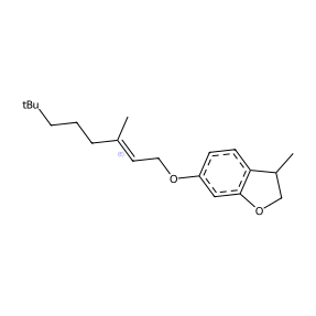 C/C(=C\COc1ccc2c(c1)OCC2C)CCCC(C)(C)C